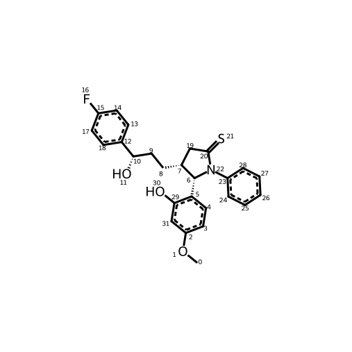 COc1ccc([C@@H]2[C@H](CC[C@H](O)c3ccc(F)cc3)CC(=S)N2c2ccccc2)c(O)c1